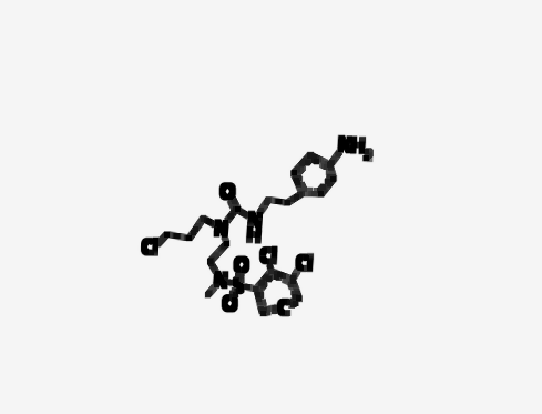 CN(CCN(CCCCl)C(=O)NCCc1ccc(N)cc1)S(=O)(=O)c1cccc(Cl)c1Cl